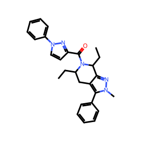 CCC1Cc2c(nn(C)c2-c2ccccc2)C(CC)N1C(=O)c1ccn(-c2ccccc2)n1